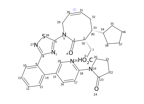 O=C(O)C[C@@H]1C(=O)N(c2nc(-c3ccccc3-c3ccc(N4CCCC4=O)nc3)ns2)C/C=C\C[C@@H]1C1CCCC1